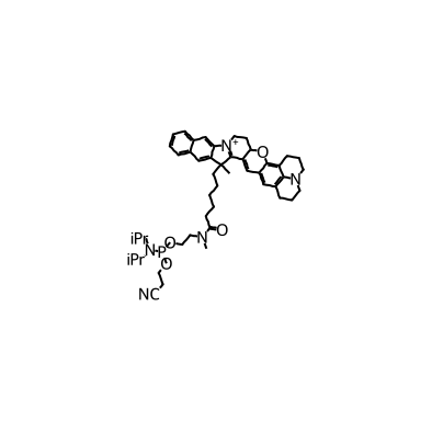 CC(C)N(C(C)C)P(OCCC#N)OCCN(C)C(=O)CCCCCC1(C)C2=[N+](CCC3Oc4c(cc5c6c4CCCN6CCC5)C=C23)c2cc3ccccc3cc21